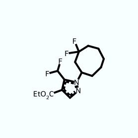 CCOC(=O)c1cnn(C2CCCCCC(F)(F)C2)c1C(F)F